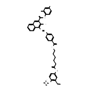 Cc1cc(Cl)ccc1NC(=O)c1cc2ccccc2c(/N=N/c2ccc(C(=O)NCCCCCC(=O)Nc3ccc(OP(=O)(O)O)c(CF)c3)cc2)c1O